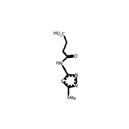 [CH2]Sc1nnc(NC(=O)CCC(=O)O)s1